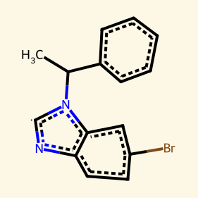 CC(c1ccccc1)n1[c]nc2ccc(Br)cc21